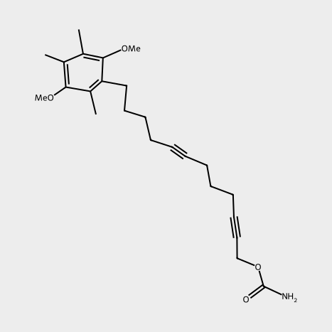 COc1c(C)c(C)c(OC)c(CCCCC#CCCCC#CCOC(N)=O)c1C